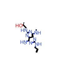 C=CCNc1nc(NC)c2nc(NC[C@H](C)O)nc(NC)c2n1